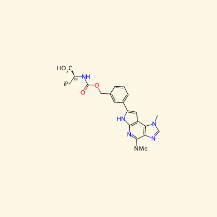 CNc1nc2[nH]c(-c3cccc(COC(=O)N[C@H](C(=O)O)C(C)C)c3)cc2c2c1ncn2C